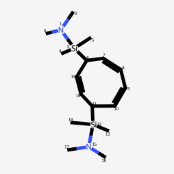 CN(C)[Si](C)(C)C1C=CC=CC([Si](C)(C)N(C)C)C=C1